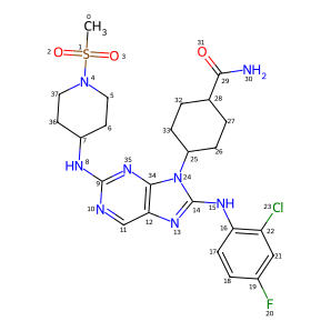 CS(=O)(=O)N1CCC(Nc2ncc3nc(Nc4ccc(F)cc4Cl)n(C4CCC(C(N)=O)CC4)c3n2)CC1